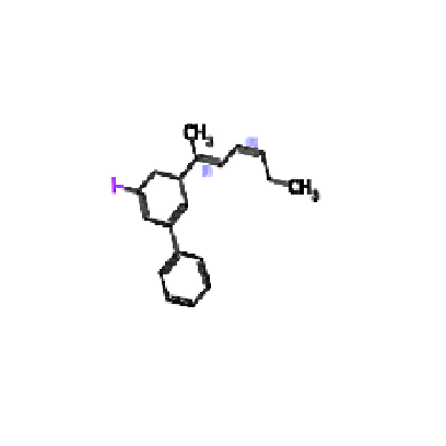 CC/C=C\C=C(/C)C1C=C(c2ccccc2)C=C(I)C1